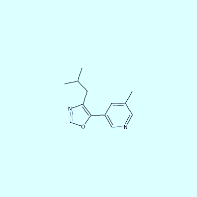 Cc1cncc(-c2ocnc2CC(C)C)c1